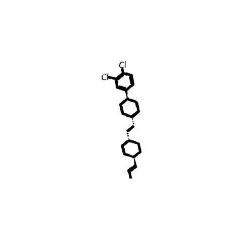 CC=C[C@H]1CC[C@H](CC[C@H]2CC[C@H](c3ccc(Cl)c(Cl)c3)CC2)CC1